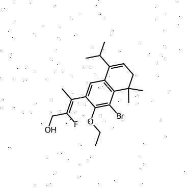 CCOc1c(C(C)=C(F)CO)cc2c(c1Br)C(C)(C)CC=C2C(C)C